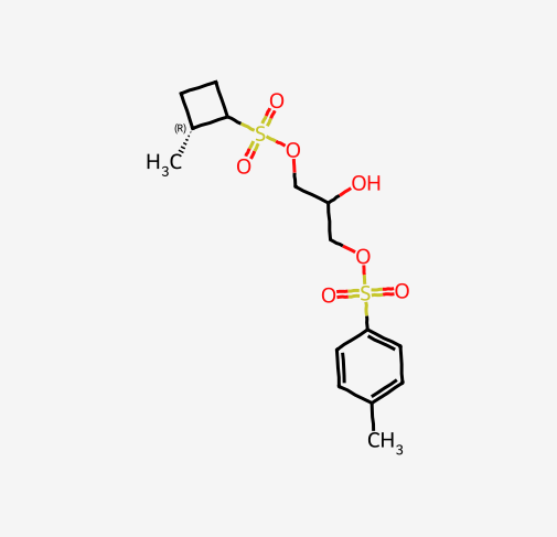 Cc1ccc(S(=O)(=O)OCC(O)COS(=O)(=O)C2CC[C@H]2C)cc1